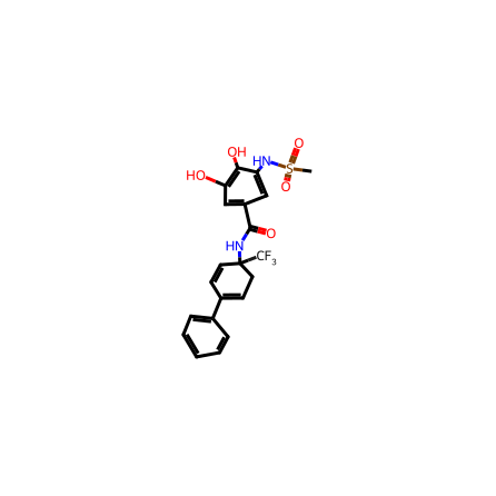 CS(=O)(=O)Nc1cc(C(=O)NC2(C(F)(F)F)C=CC(c3ccccc3)=CC2)cc(O)c1O